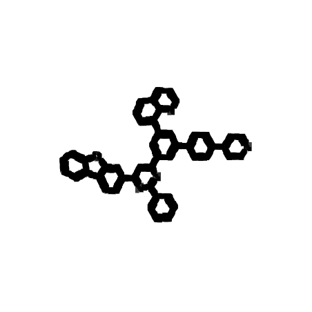 c1ccc(-c2nc(-c3cc(-c4ccc(-c5ccncc5)cc4)cc(-c4cccc5cccnc45)c3)cc(-c3ccc4c(c3)oc3ccccc34)n2)cc1